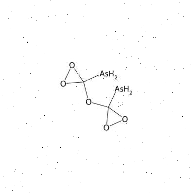 [AsH2]C1(OC2([AsH2])OO2)OO1